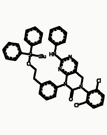 CC(C)(C)[Si](OCCc1cccc(N2C(=O)N(c3c(Cl)cccc3Cl)Cc3cnc(Nc4ccccc4)nc32)c1)(c1ccccc1)c1ccccc1